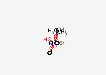 C[Si](C)(C)CCOCOc1cc(Br)ccc1[C@@H]1C[C@@H](O)CCN1C(=O)OCc1ccccc1